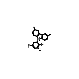 Cc1ccc2c(c1)c1c(n2C2CC(F)=CC(F)=C2F)C=CC(C)C1